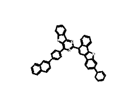 C1=CCC(c2ccc3c(c2)oc2c4ccccc4c(-c4nc(-c5ccc(-c6ccc7ccccc7c6)cc5)c5sc6ccccc6c5n4)cc32)C=C1